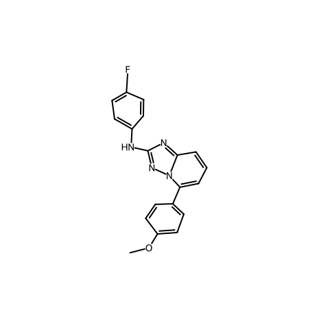 COc1ccc(-c2cccc3nc(Nc4ccc(F)cc4)nn23)cc1